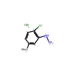 Br.COc1ccc(Cl)c(NN)c1